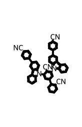 N#Cc1ccc(-c2ccc3c(c2)c2ccccc2n3-c2cc(-c3ccccc3C#N)cc(-n3c4ccccc4c4cc(-c5ccc(C#N)cc5)ccc43)c2C#N)cc1